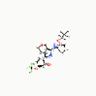 CC(C)(C)[Si](C)(C)O[C@H]1CCCC[C@H]1Nc1nnc(-c2ccc(OC(F)(F)F)cc2O)c2c1COCC2